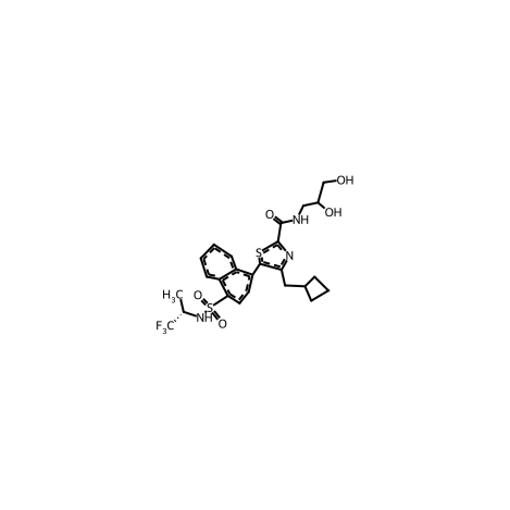 C[C@H](NS(=O)(=O)c1ccc(-c2sc(C(=O)NCC(O)CO)nc2CC2CCC2)c2ccccc12)C(F)(F)F